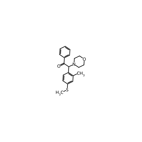 CSc1ccc(C(C(=O)c2ccccc2)N2CCOCC2)c(C)c1